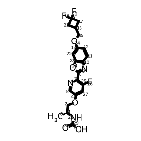 C[C@@H](COc1cnc(-c2nc3ccc(OCC4CC(F)(F)C4)cc3o2)c(F)c1)NC(=O)O